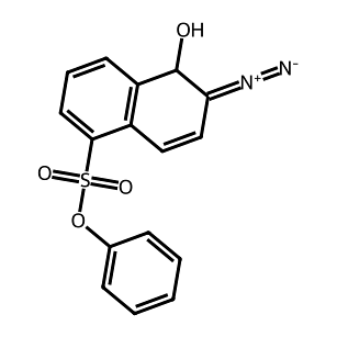 [N-]=[N+]=C1C=Cc2c(cccc2S(=O)(=O)Oc2ccccc2)C1O